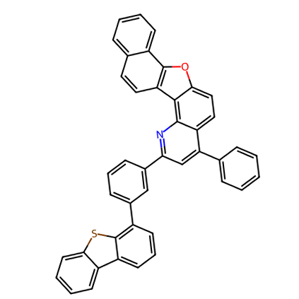 c1ccc(-c2cc(-c3cccc(-c4cccc5c4sc4ccccc45)c3)nc3c2ccc2oc4c5ccccc5ccc4c23)cc1